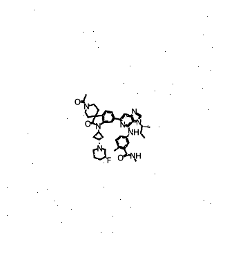 CC[C@H](C)n1cnc2cc(-c3ccc4c(c3)N([C@H]3C[C@@H](N5CCC[C@@H](F)C5)C3)C(=O)C43CCN(C(C)=O)CC3)nc(Nc3ccc(C)c(C(=O)NC)c3)c21